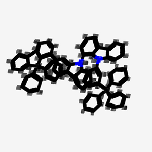 c1ccc([Si](c2ccccc2)(c2ccccc2)c2cccc(-n3c4ccccc4c4cccc(-n5c6ccccc6c6ccc(-c7cccc8c7[Si](c7ccccc7)(c7ccccc7)c7ccccc7-8)cc65)c43)c2)cc1